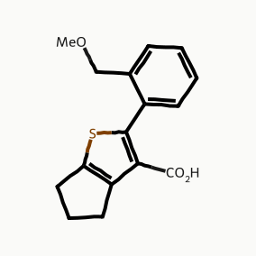 COCc1ccccc1-c1sc2c(c1C(=O)O)CCC2